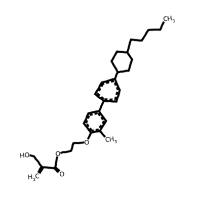 C=C(CO)C(=O)OCCOc1ccc(-c2ccc(C3CCC(CCCCC)CC3)cc2)cc1C